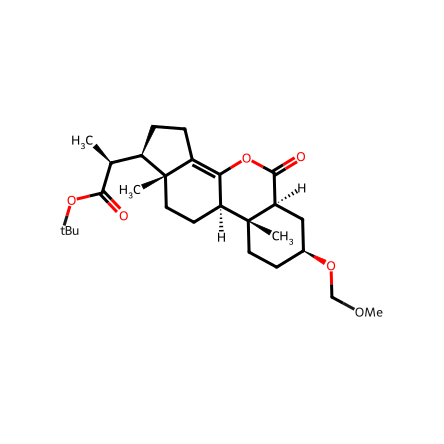 COCO[C@H]1CC[C@@]2(C)[C@H](C1)C(=O)OC1=C3CC[C@H]([C@H](C)C(=O)OC(C)(C)C)[C@@]3(C)CC[C@@H]12